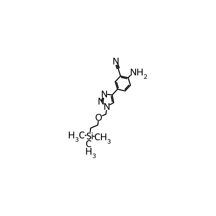 C[Si](C)(C)CCOCn1cc(-c2ccc(N)c(C#N)c2)nn1